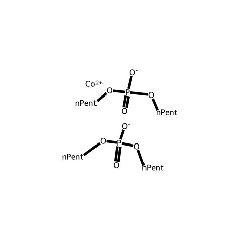 CCCCCOP(=O)([O-])OCCCCC.CCCCCOP(=O)([O-])OCCCCC.[Co+2]